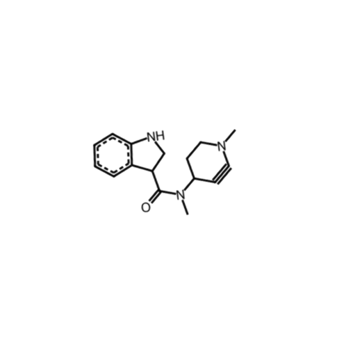 CN1C#CC(N(C)C(=O)C2CNc3ccccc32)CC1